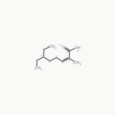 CCC(CC)CCC=C(C)C(=O)O